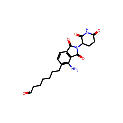 Nc1c(CCCCCCC=O)ccc2c1C(=O)N(C1CCC(=O)NC1=O)C2=O